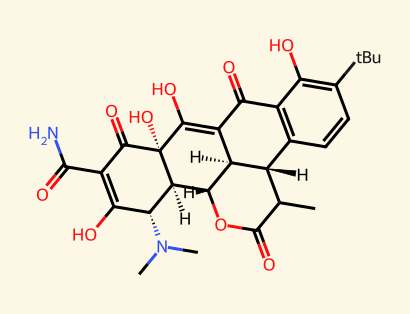 CC1C(=O)O[C@H]2[C@H]3C(=C(O)[C@]4(O)C(=O)C(C(N)=O)=C(O)[C@@H](N(C)C)[C@H]24)C(=O)c2c(ccc(C(C)(C)C)c2O)[C@H]13